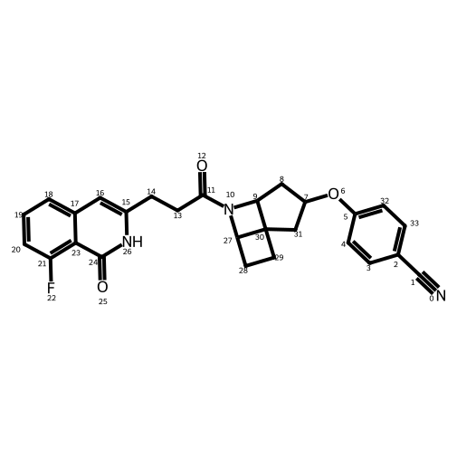 N#Cc1ccc(OC2CC3N(C(=O)CCc4cc5cccc(F)c5c(=O)[nH]4)C4CCC43C2)cc1